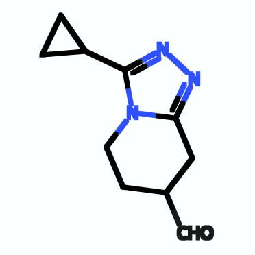 O=CC1CCn2c(nnc2C2CC2)C1